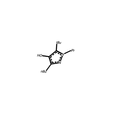 CCCCc1nn(C(C)C)c(C(C)(C)C)c1O